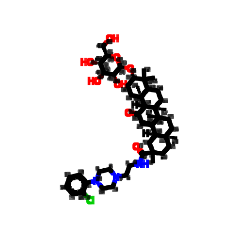 CC1(C(=O)NCCN2CCN(c3ccccc3Cl)CC2)CC[C@]2(C)CC[C@]3(C)C(=CC(=O)[C@@H]4[C@@]5(C)CC[C@H](O[C@@H]6O[C@H](CO)[C@@H](O)[C@H](O)[C@H]6O)C(C)(C)C5CC[C@]43C)[C@@H]2C1